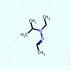 C/C=N/N(CC)C(C)C